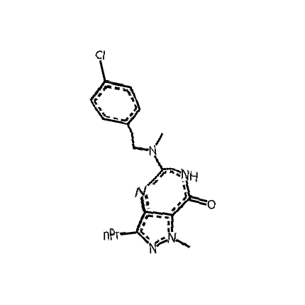 CCCc1nn(C)c2c(=O)[nH]c(N(C)Cc3ccc(Cl)cc3)nc12